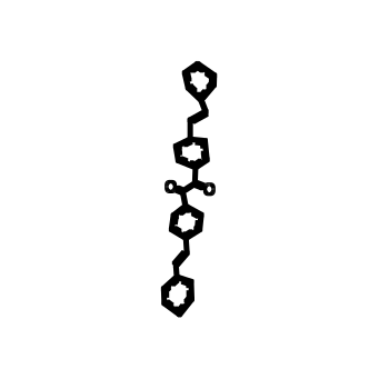 O=C(C(=O)c1ccc(/C=C/c2ccccc2)cc1)c1ccc(/C=C/c2ccccc2)cc1